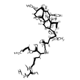 CCOC(=O)[C@H](CCCNC(=N)N)NC(=O)CC[C@@H](C)[C@H]1CC[C@H]2[C@@H]3[C@H](O)C[C@@H]4C[C@H](O)CC[C@]4(C)[C@H]3CC[C@]12C